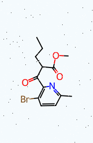 CCCC(C(=O)OC)C(=O)c1nc(C)ccc1Br